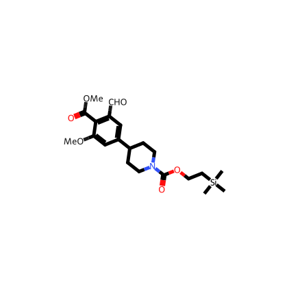 COC(=O)c1c(C=O)cc(C2CCN(C(=O)OCC[Si](C)(C)C)CC2)cc1OC